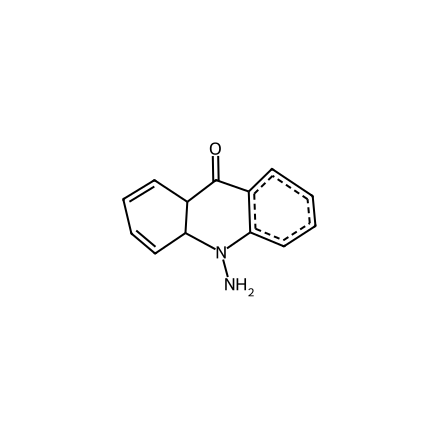 NN1c2ccccc2C(=O)C2C=CC=CC21